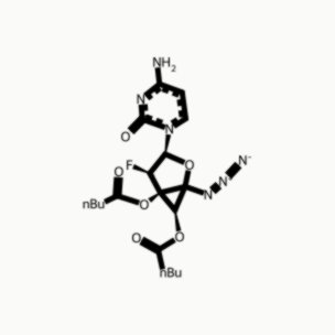 CCCCC(=O)O[C@@H]1C2(N=[N+]=[N-])O[C@H](n3ccc(N)nc3=O)[C@H](F)[C@@]12OC(=O)CCCC